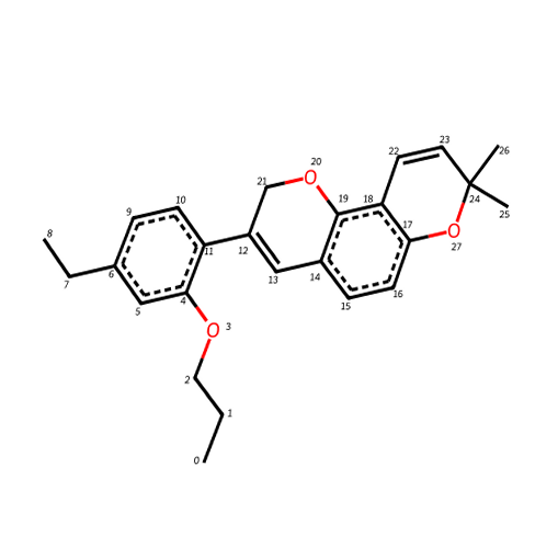 CCCOc1cc(CC)ccc1C1=Cc2ccc3c(c2OC1)C=CC(C)(C)O3